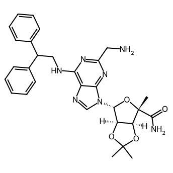 CC1(C)O[C@H]2[C@H](n3cnc4c(NCC(c5ccccc5)c5ccccc5)nc(CN)nc43)O[C@](C)(C(N)=O)[C@H]2O1